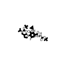 CC(C)N(CC1CCN(c2c(F)cc(C(=O)NNC(=O)OC(C)(C)C)c(NC3CC3)c2Cl)C1)C(=O)OC(C)(C)C